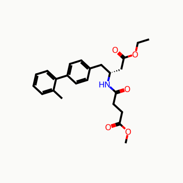 CCOC(=O)C[C@@H](Cc1ccc(-c2ccccc2C)cc1)NC(=O)CCC(=O)OC